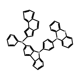 C1=C(N(c2ccccc2)c2ccc3c4ccccc4n(-c4ccc(N5c6ccccc6Sc6ccccc65)cc4)c3c2)C=c2ccc3ccccc3c2=1